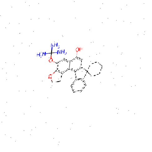 NC(N)(N)Oc1cc2c(O)cc3c(c2c2c1OCC2)-c1ccccc1C31CCCCC1